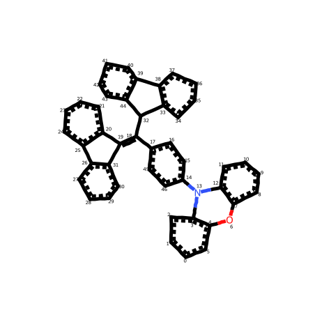 c1ccc2c(c1)Oc1ccccc1N2c1ccc(C(=C2c3ccccc3-c3ccccc32)C2c3ccccc3-c3ccccc32)cc1